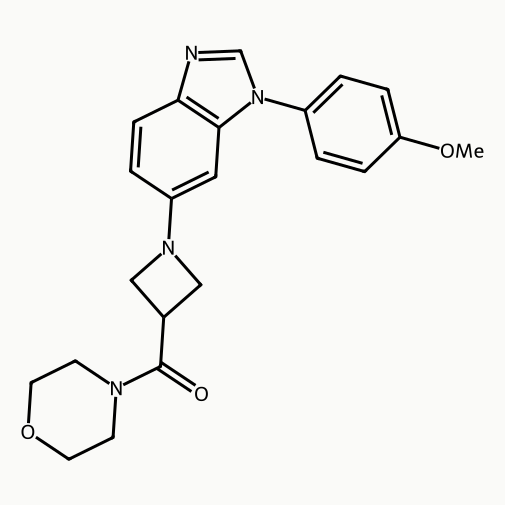 COc1ccc(-n2cnc3ccc(N4CC(C(=O)N5CCOCC5)C4)cc32)cc1